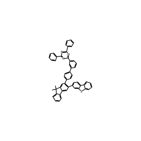 CC1(C)c2ccccc2-c2cc(-c3ccc4c(c3)sc3ccccc34)c(-c3ccc(-c4cccc(-c5nc(-c6ccccc6)nc(-c6ccccc6)n5)c4)cc3)cc21